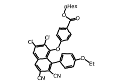 CCCCCCOC(=O)c1ccc(Oc2c(Cl)c(Cl)cc3cc(C#N)c(C#N)c(-c4ccc(OCC)cc4)c23)cc1